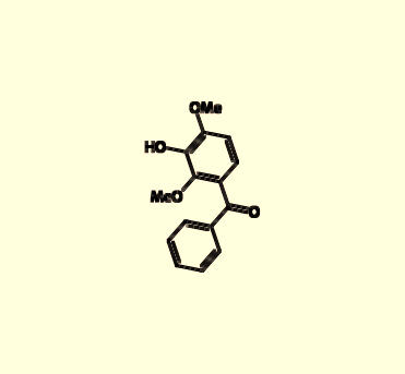 COc1ccc(C(=O)c2ccccc2)c(OC)c1O